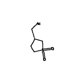 CC(=O)CC1CCS(=O)(=O)C1